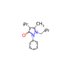 Cc1c(C(C)C)c(=O)n(-c2ccccc2)n1CC(C)C